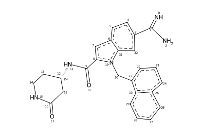 N=C(N)c1ccc2cc(C(=O)N[C@H]3CCNC(=O)C3)n(Cc3cccc4ccccc34)c2c1